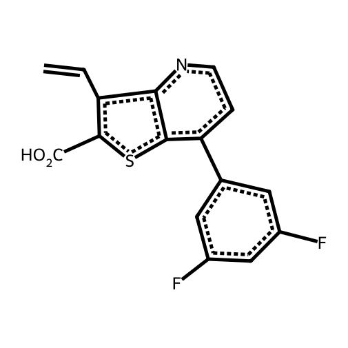 C=Cc1c(C(=O)O)sc2c(-c3cc(F)cc(F)c3)ccnc12